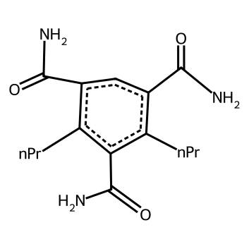 CCCc1c(C(N)=O)cc(C(N)=O)c(CCC)c1C(N)=O